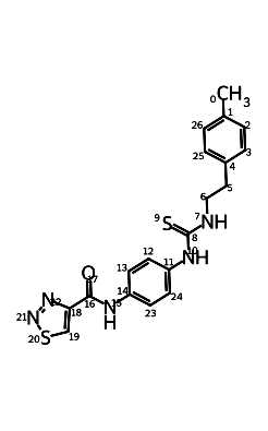 Cc1ccc(CCNC(=S)Nc2ccc(NC(=O)c3csnn3)cc2)cc1